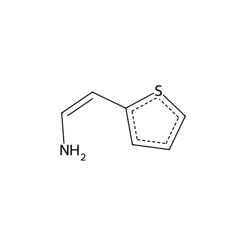 N/C=C\c1cccs1